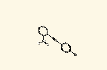 O=[N+]([O-])c1ccccc1C#Cc1ccc(Br)cc1